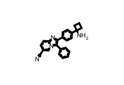 N#Cc1ccc2nc(-c3ccc(C4(N)CCC4)cc3)c(-c3ccccc3)n2c1